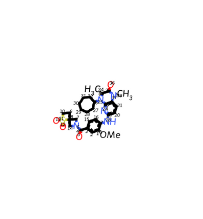 COc1cc(C(=O)N2CC3(CCS3(=O)=O)C2)ccc1Nc1ccc2c(n1)N(C1CCCCCC1)[C@H](C)C(=O)N2C